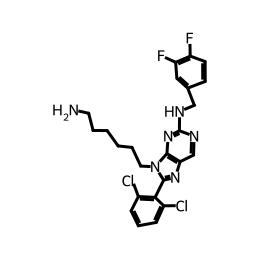 NCCCCCCn1c(-c2c(Cl)cccc2Cl)nc2cnc(NCc3ccc(F)c(F)c3)nc21